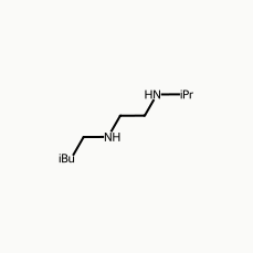 CCC(C)CNCCNC(C)C